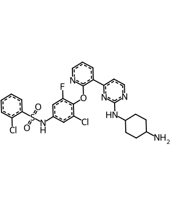 NC1CCC(Nc2nccc(-c3cccnc3Oc3c(F)cc(NS(=O)(=O)c4ccccc4Cl)cc3Cl)n2)CC1